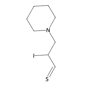 S=CC(I)CN1CCCCC1